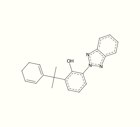 CC(C)(C1=CCCC=C1)c1cccc(-n2nc3ccccc3n2)c1O